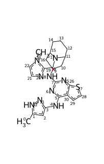 Cc1cc(Nc2nc(NC3CC4CCCC(C3)N4Cc3nccn3C)nc3sccc23)n[nH]1